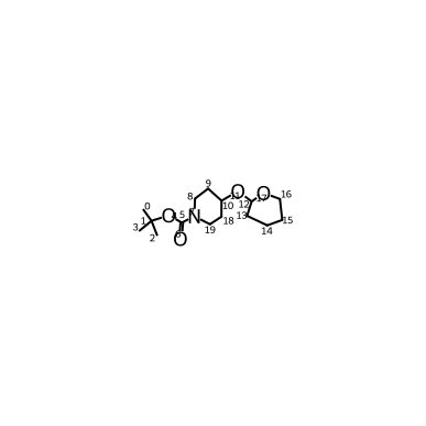 CC(C)(C)OC(=O)N1CCC(OC2CCCCO2)CC1